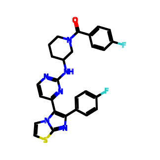 O=C(c1ccc(F)cc1)N1CCCC(Nc2nccc(-c3c(-c4ccc(F)cc4)nc4sccn34)n2)C1